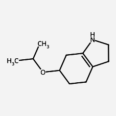 CC(C)OC1CCC2=C(C1)NCC2